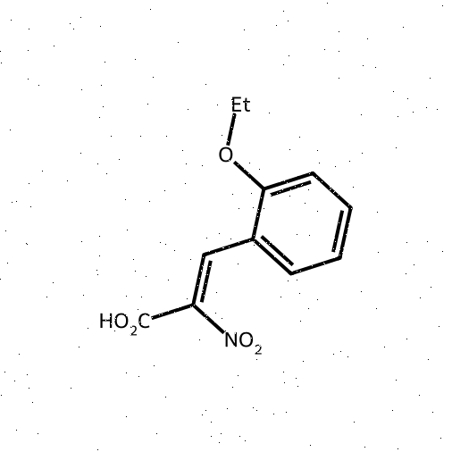 CCOc1ccccc1C=C(C(=O)O)[N+](=O)[O-]